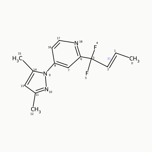 C/C=C/C(F)(F)c1cc(-n2nc(C)cc2C)ccn1